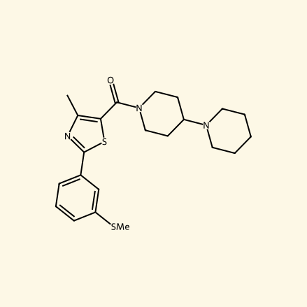 CSc1cccc(-c2nc(C)c(C(=O)N3CCC(N4CCCCC4)CC3)s2)c1